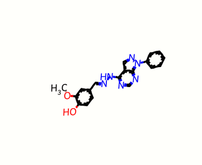 COc1cc(C=NNc2ncnc3c2cnn3-c2ccccc2)ccc1O